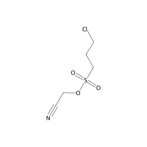 N#CCOS(=O)(=O)CCCCl